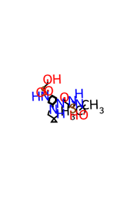 CC(C)(CO)Nc1nc(C(=O)Nc2ccc(NS(=O)(=O)CCO)cc2N2CCC3(CC2)CC3)cs1